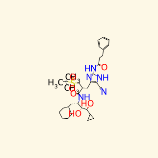 CC(C)(C)S(=O)(=O)CC(Cc1nc(NC(=O)CCc2ccccc2)[nH]c1C#N)C(=O)N[C@@H](CC1CCCCC1)[C@@H](O)[C@@H](O)C1CC1